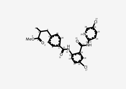 COC(=O)C(C)Cc1ccc(C(=O)Nc2ccc(Cl)cc2C(=O)Nc2ccc(Cl)cn2)cc1